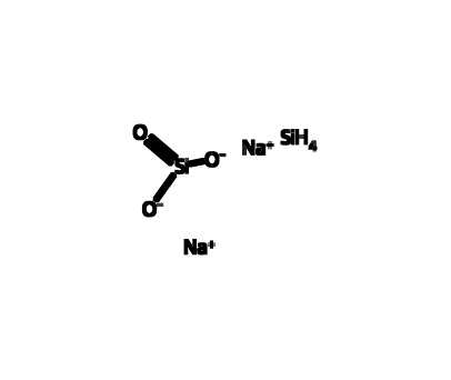 O=[Si]([O-])[O-].[Na+].[Na+].[SiH4]